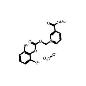 CNC(=O)c1ccc[n+](COC(=O)Oc2c(C(C)C)cccc2C(C)C)c1.O=[N+]([O-])[O-]